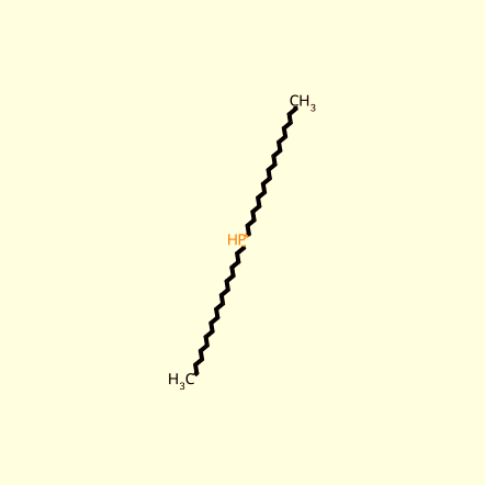 CCCCCCCCCCCCCCCCCCCCPCCCCCCCCCCCCCCCCCCCC